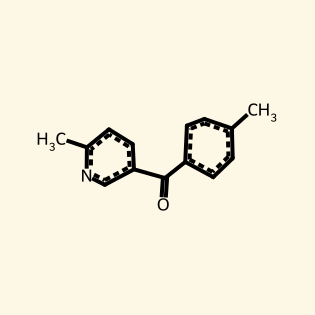 Cc1ccc(C(=O)c2ccc(C)nc2)cc1